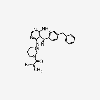 C=C(Br)C(=O)N1CCC[C@@H](n2nc(-c3ccc(Cc4ccccc4)cc3)c3c(N)ncnc32)C1